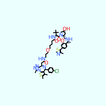 Cc1ncsc1-c1ccc([C@H](C)NC(=O)[C@@H]2C[C@@H](O)CN2C(=O)[C@@H](NC(=O)CCCCOCCCNC(=O)CC2N=C(c3ccc(Cl)cc3)c3c(sc(C)c3C)-n3c(C)nnc32)C(C)(C)C)cc1